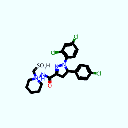 O=C(N[N+]1(CS(=O)(=O)O)CCCCC1)C1=NN(c2ccc(Cl)cc2Cl)C(c2ccc(Cl)cc2)C1